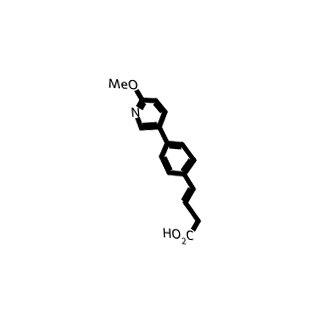 COc1ccc(-c2ccc(C=CCC(=O)O)cc2)cn1